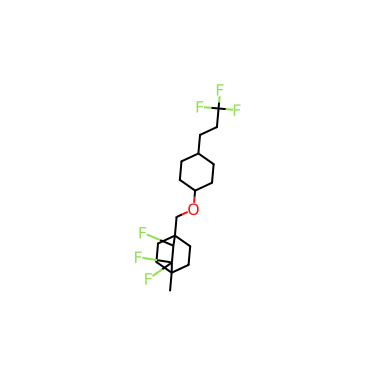 CC12CCC(COC3CCC(CCC(F)(F)F)CC3)(CC1)C(F)C2(F)F